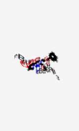 CCCCOc1c2n(ccc1=O)NC(CO[Si](C)(C)C(C)(C)C)N(CCOC(=O)c1ccccc1)C2=O